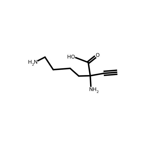 C#CC(N)(CCCCN)C(=O)O